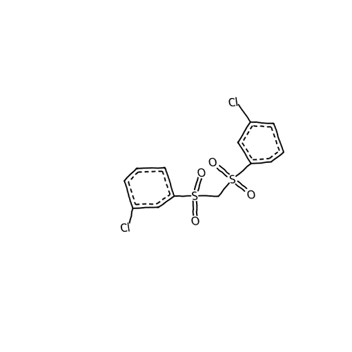 O=S(=O)(CS(=O)(=O)c1cccc(Cl)c1)c1cccc(Cl)c1